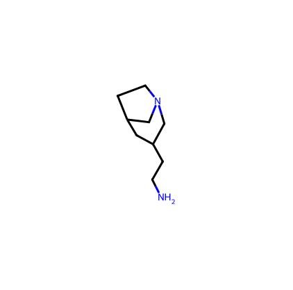 NCCC1CC2CCN(C1)C2